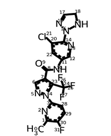 Cc1nc(-n2ncc(C(=O)Nc3cnc(N4N=CCN4)c(Cl)c3)c2C(F)(F)F)ccc1F